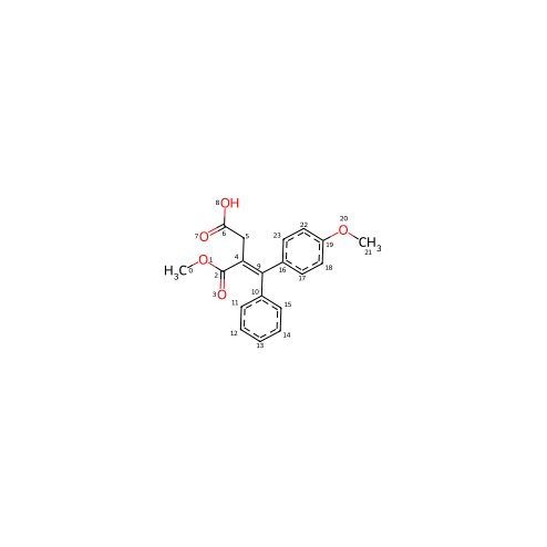 COC(=O)C(CC(=O)O)=C(c1ccccc1)c1ccc(OC)cc1